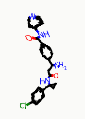 NC(CC(=O)NC1(c2ccc(Cl)cc2)CC1)c1ccc(C(=O)Nc2ccncc2)cc1